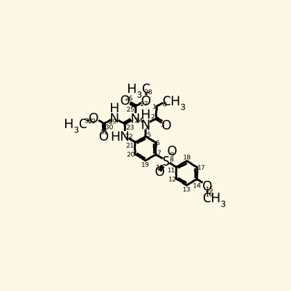 CCC(=O)Nc1cc(S(=O)(=O)c2ccc(OC)cc2)ccc1NC(=NC(=O)OC)NC(=O)OC